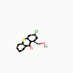 CCOCc1cc(Cl)cc2sc3ccccc3c(=O)c12